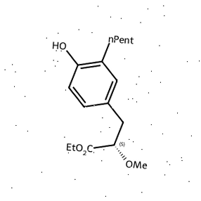 CCCCCc1cc(C[C@H](OC)C(=O)OCC)ccc1O